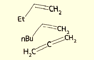 C=C=C.C=CCC.C=CCCCC